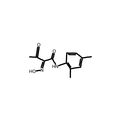 CC(=O)C(=NO)C(=O)Nc1ccc(C)cc1C